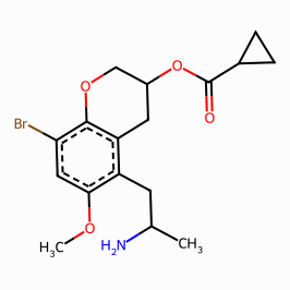 COc1cc(Br)c2c(c1CC(C)N)CC(OC(=O)C1CC1)CO2